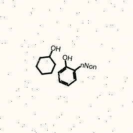 CCCCCCCCCc1ccccc1O.OC1CCCCC1